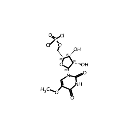 COc1cn([C@@H]2O[C@H](COP(=O)(Cl)Cl)[C@H](O)[C@@H]2O)c(=O)[nH]c1=O